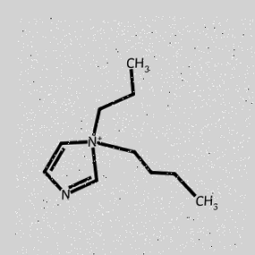 CCCC[N+]1(CCC)C=CN=C1